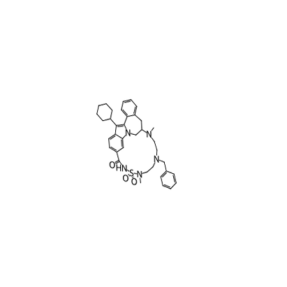 CN1CCN(Cc2ccccc2)CCN(C)S(=O)(=O)NC(=O)c2ccc3c(C4CCCCC4)c4n(c3c2)CC1Cc1ccccc1-4